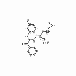 Cl.O=C(c1ccccc1)C(Cc1cccc(Cl)c1)OCC(O)CNC1CC1